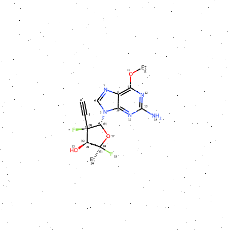 C#C[C@]1(F)[C@H](n2cnc3c(OCC)nc(N)nc32)O[C@](F)(CC)[C@H]1O